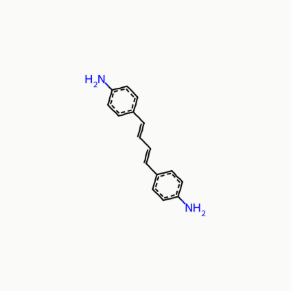 Nc1ccc(C=CC=Cc2ccc(N)cc2)cc1